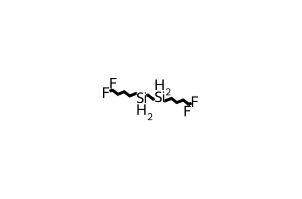 FC(F)CCCC[SiH2]CC[SiH2]CCCCC(F)F